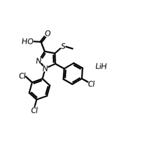 CSc1c(C(=O)O)nn(-c2ccc(Cl)cc2Cl)c1-c1ccc(Cl)cc1.[LiH]